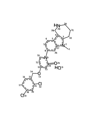 Cl.Cn1c2c(c3ccc(-n4ccc(OCc5ccc(Cl)cc5Cl)cc4=O)cc31)CNCCC2